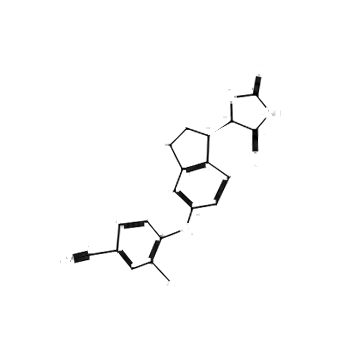 Cc1cc(C#N)ccc1Oc1ccc2c(c1)CC[C@H]2C1OC(=O)NC1=O